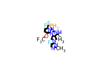 Cc1ncc(F)c(N2CCC(C(C)Nc3nc4c(OCC(F)(F)F)ccc(C(F)(F)P)n4n3)C2)n1